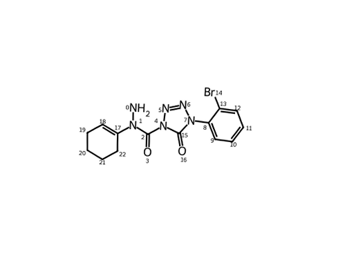 NN(C(=O)n1nnn(-c2ccccc2Br)c1=O)C1=CCCCC1